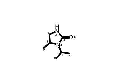 CC(C)N1C(=O)NCC1C